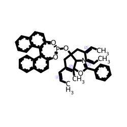 C/C=C\C(=C/C)CC(CC(/C=C\C)=C/C)(Op1oc2ccc3ccccc3c2c2c(ccc3ccccc32)o1)C1COC(c2ccccc2)=N1